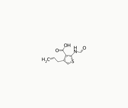 C=CCc1csc(NC=O)c1C(=O)O